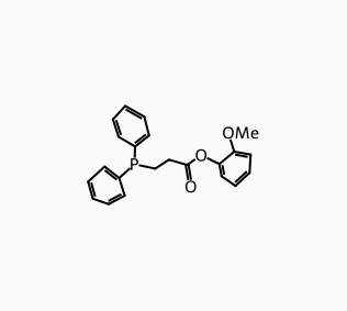 COc1ccccc1OC(=O)CCP(c1ccccc1)c1ccccc1